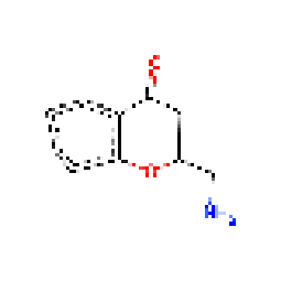 NCC1CC(=O)c2ccccc2O1